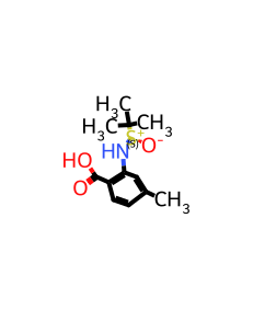 Cc1ccc(C(=O)O)c(N[S@+]([O-])C(C)(C)C)c1